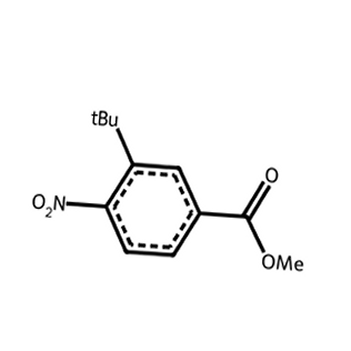 COC(=O)c1ccc([N+](=O)[O-])c(C(C)(C)C)c1